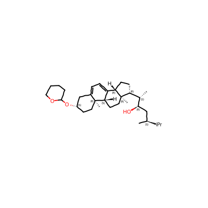 CC(C)[C@@H](C)C[C@@H](O)[C@@H](C)[C@H]1CC[C@H]2C3=CC=C4C[C@@H](OC5CCCCO5)CC[C@]4(C)[C@H]3CC[C@]12C